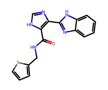 O=C(NCc1cccs1)c1[nH]cnc1-c1nc2ccccc2[nH]1